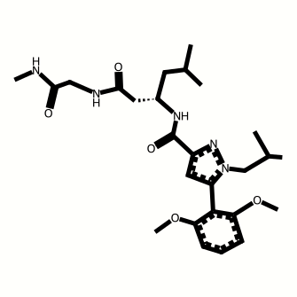 CNC(=O)CNC(=O)C[C@H](CC(C)C)NC(=O)c1cc(-c2c(OC)cccc2OC)n(CC(C)C)n1